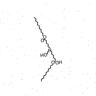 CCCCCCCCCCCOC(=O)CCCCCN(CCO)CCCCCC(O)OCCCCCCCCCCC